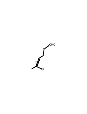 [CH2]C/C(C)=C\COC=O